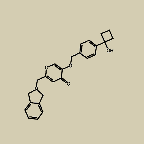 O=c1cc(CN2Cc3ccccc3C2)occ1OCc1ccc(C2(O)CCC2)cc1